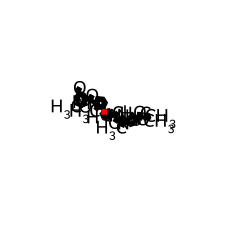 Cc1c(NC(=O)c2cc(C=O)cn(C)c2=O)cccc1-c1cccc(N(Cl)C(=O)c2nc3c(n2C)CCN(C(=O)OC(C)(C)C)C3)c1